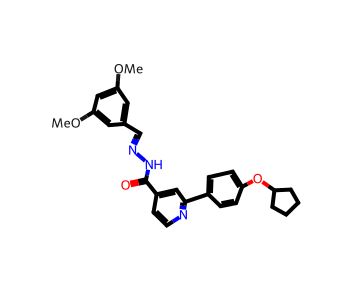 COc1cc(C=NNC(=O)c2ccnc(-c3ccc(OC4CCCC4)cc3)c2)cc(OC)c1